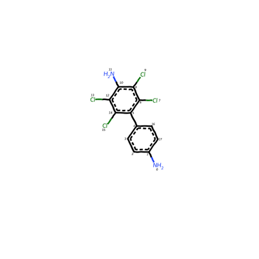 Nc1ccc(-c2c(Cl)c(Cl)c(N)c(Cl)c2Cl)cc1